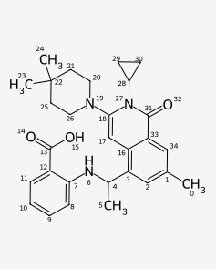 Cc1cc(C(C)Nc2ccccc2C(=O)O)c2cc(N3CCC(C)(C)CC3)n(C3CC3)c(=O)c2c1